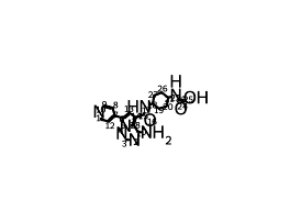 Nc1ncnn2c(-c3ccncc3)cc(C(=O)NC3CCC(NC(=O)O)CC3)c12